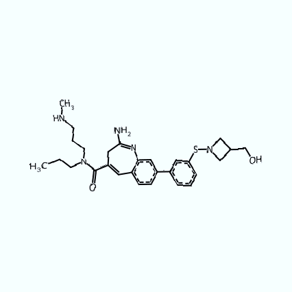 CCCN(CCCNC)C(=O)C1=Cc2ccc(-c3cccc(SN4CC(CO)C4)c3)cc2N=C(N)C1